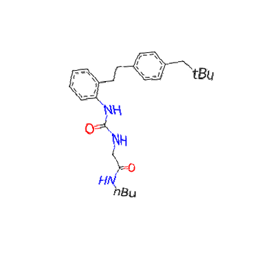 CCCCNC(=O)CNC(=O)Nc1ccccc1CCc1ccc(CC(C)(C)C)cc1